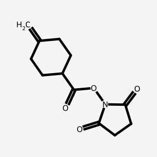 C=C1CCC(C(=O)ON2C(=O)CCC2=O)CC1